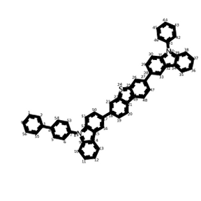 c1ccc(-c2ccc(-n3c4ccccc4c4cc(-c5ccc6c(c5)sc5cc(-c7ccc8c(c7)c7ccccc7n8-c7ccccc7)ccc56)ccc43)cc2)cc1